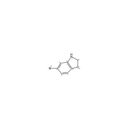 Brc1ccc2c(c1)NCO2